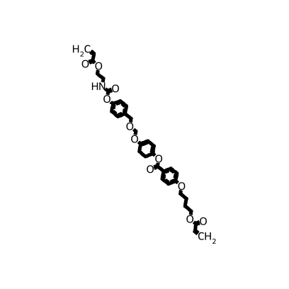 C=CC(=O)OCCCCOc1ccc(C(=O)OC2=CC=C(OCOCc3ccc(OC(=O)NCCOC(=O)C=C)cc3)CC2)cc1